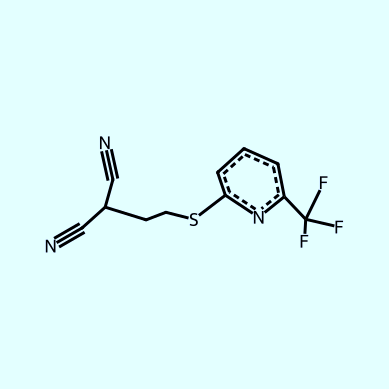 N#CC(C#N)CCSc1cccc(C(F)(F)F)n1